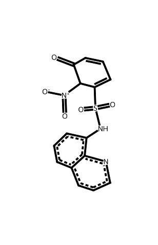 O=C1C=CC=C(S(=O)(=O)Nc2cccc3cccnc23)C1[N+](=O)[O-]